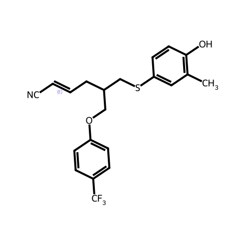 Cc1cc(SCC(C/C=C/C#N)COc2ccc(C(F)(F)F)cc2)ccc1O